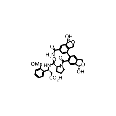 COc1ccccc1[C@H](CC(=O)O)NC(=O)[C@@H]1CCCN1C(=O)c1cc2c(cc1-c1cc(C(N)=O)cc3c1COB3O)COB2O